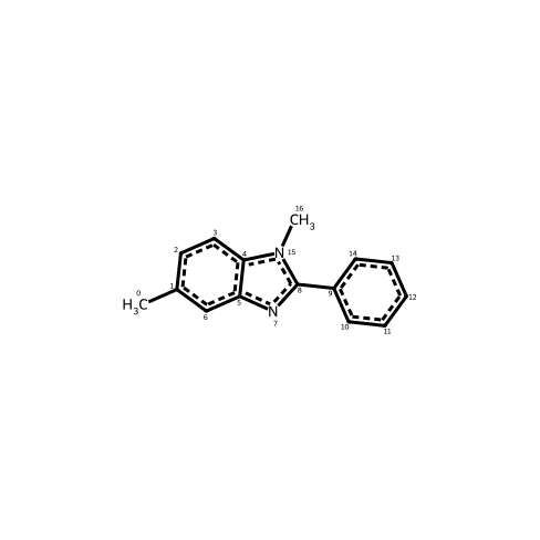 Cc1ccc2c(c1)nc(-c1ccccc1)n2C